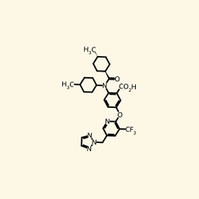 CC1CCC(N(c2ccc(Oc3ncc(Cn4nccn4)cc3C(F)(F)F)cc2C(=O)O)C(=O)[C@H]2CC[C@H](C)CC2)CC1